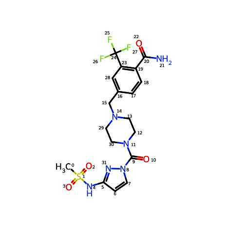 CS(=O)(=O)Nc1ccn(C(=O)N2CCN(Cc3ccc(C(N)=O)c(C(F)(F)F)c3)CC2)n1